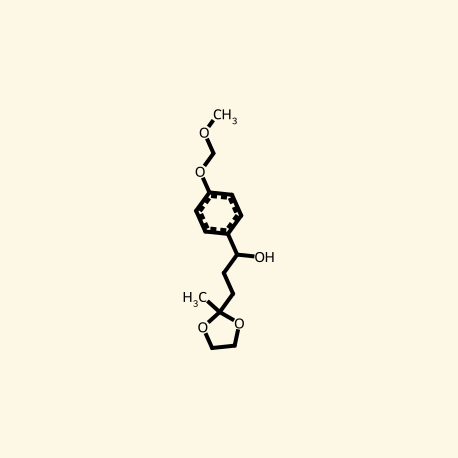 COCOc1ccc(C(O)CCC2(C)OCCO2)cc1